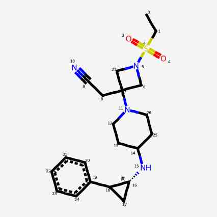 CCS(=O)(=O)N1CC(CC#N)(N2CCC(N[C@@H]3CC3c3ccccc3)CC2)C1